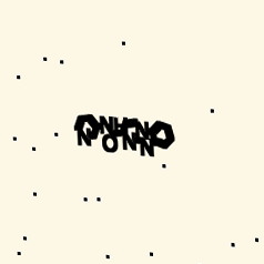 O=C(Nc1cccnc1)c1ccn2c(n1)nc1ccccc12